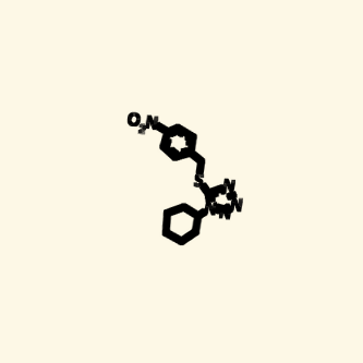 O=[N+]([O-])c1ccc(CSc2nnnn2C2CCCCC2)cc1